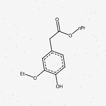 CCCOC(=O)Cc1ccc(O)c(OCC)c1